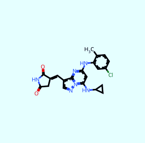 Cc1ccc(Cl)cc1Nc1cc(NC2CC2)n2ncc(/C=C3\CC(=O)NC3=O)c2n1